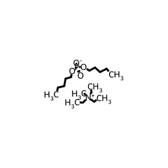 CCCCCOP(=O)([O-])OCCCCC.CC[N+](C)(CC)CC